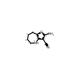 N#Cc1c(N)sc2c1NCCCC2